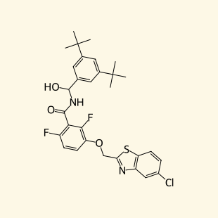 CC(C)(C)c1cc(C(O)NC(=O)c2c(F)ccc(OCc3nc4cc(Cl)ccc4s3)c2F)cc(C(C)(C)C)c1